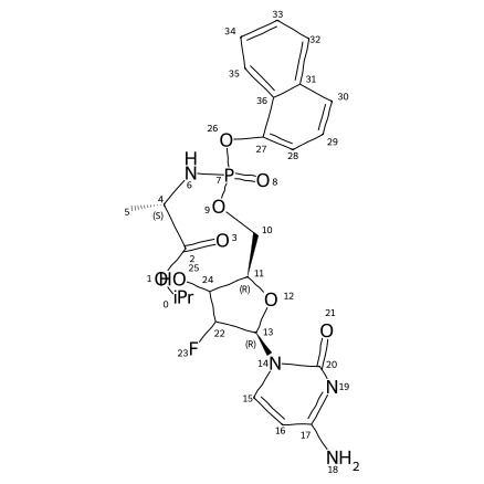 CC(C)OC(=O)[C@H](C)NP(=O)(OC[C@H]1O[C@@H](n2ccc(N)nc2=O)C(F)C1O)Oc1cccc2ccccc12